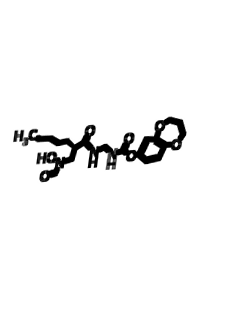 CCCCC[C@H](CN(O)C=O)C(=O)NCNC(=O)Oc1ccc2c(c1)OCCCO2